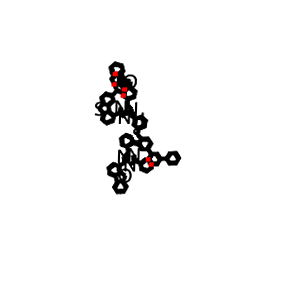 c1ccc(-c2cccc(-c3ccc4c(c3)-c3c(-c5nc(-c6ccccc6)nc(-c6cccc7c6oc6ccccc67)n5)cccc3[SH]4c3cccc(-c4nc(-c5ccc6oc7ccccc7c6c5)nc(-c5cccc6sc7ccc(-c8cccc(-c9ccccc9)c8)cc7c56)n4)c3)c2)cc1